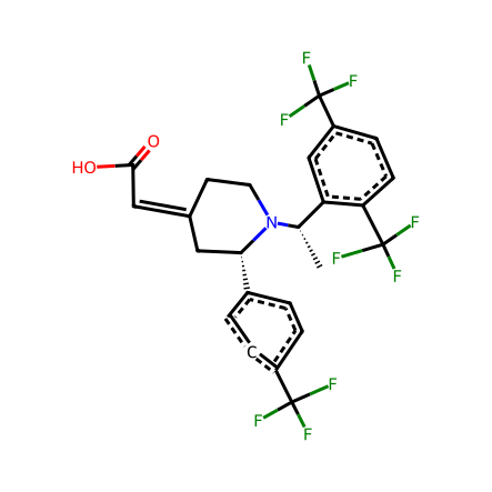 C[C@@H](c1cc(C(F)(F)F)ccc1C(F)(F)F)N1CC/C(=C\C(=O)O)C[C@H]1c1ccc(C(F)(F)F)cc1